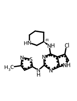 Cc1cc(Nc2nc(N[C@@H]3CCCNC3)c3c(Cl)c[nH]c3n2)sn1